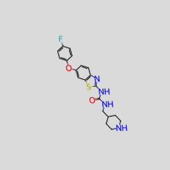 O=C(NCC1CCNCC1)Nc1nc2ccc(Oc3ccc(F)cc3)cc2s1